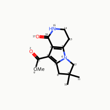 COC(=O)c1c2c(n3c1CC(C)(C)C3)CCNC2=O